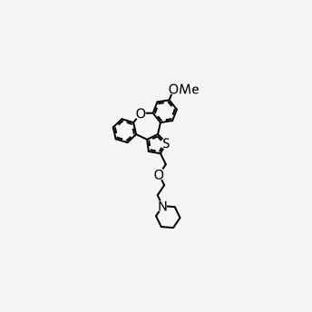 COc1ccc2c(c1)Oc1ccccc1-c1cc(COCCN3CCCCC3)sc1-2